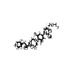 NC[C@H]1CN(c2cc(F)c(N3CCON(C(=O)Cc4ccncc4)CC3)c(F)c2)C(=O)O1